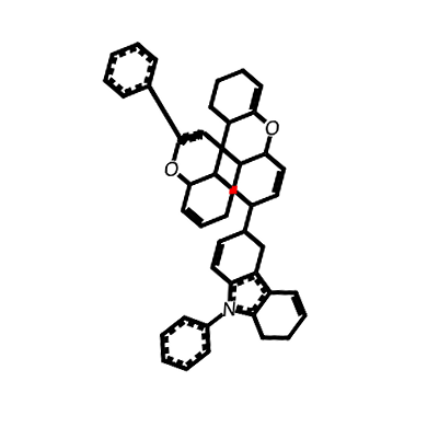 C1=Cc2c3c(n(-c4ccccc4)c2CC1)C=CC(C1C=CC2OC4=CCCCC4C4(c5ccc(-c6ccccc6)cc5OC5C=CCCC54)C2C1)C3